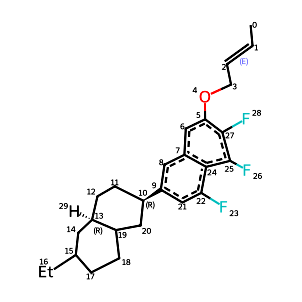 C/C=C/COc1cc2cc([C@@H]3CC[C@@H]4CC(CC)CCC4C3)cc(F)c2c(F)c1F